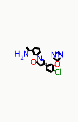 C=C(N)c1cccc(N2C[C@@H](c3ccc(Cl)c(Oc4cncnc4)c3)CC2=O)c1